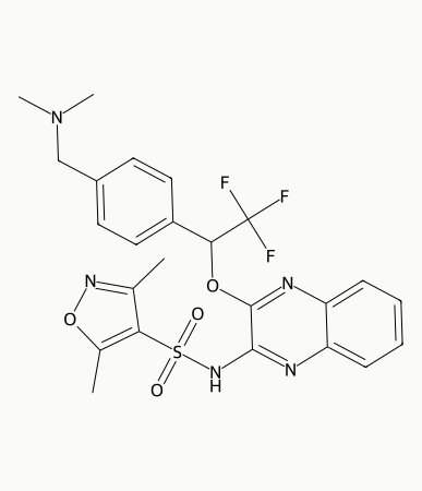 Cc1noc(C)c1S(=O)(=O)Nc1nc2ccccc2nc1OC(c1ccc(CN(C)C)cc1)C(F)(F)F